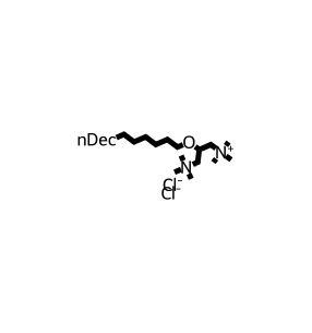 CCCCCCCCCCCCCCCCOC(C[N+](C)(C)C)C[N+](C)(C)C.[Cl-].[Cl-]